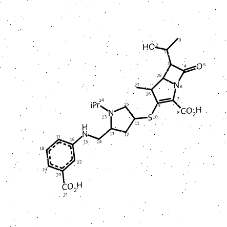 CC(O)C1C(=O)N2C(C(=O)O)=C(SC3CC(CNc4cccc(C(=O)O)c4)N(C(C)C)C3)C(C)C12